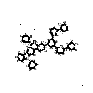 c1ccc(-c2cccc(-c3cc(-c4ccc5c(c4)nc(-c4ccccc4)c4cc6c7ccccc7n(-c7ccccc7)c6cc45)cc(-c4cccc(-c5ccccc5)n4)c3)n2)cc1